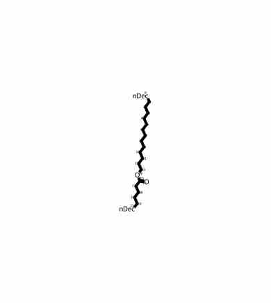 CCCCCCCCCCCCCCCCCCCCCCCOC(=O)CCCCCCCCCCCCCC